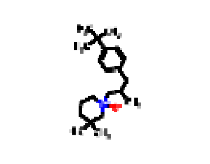 CC(Cc1ccc(C(C)(C)C)cc1)C[N+]1([O-])CCCC(C)(C)C1